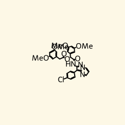 COc1cc(CC(=O)OC(C(=O)Nc2nn3cccnc3c2-c2ccc(Cl)cc2)c2cc(OC)cc(OC)c2)cc(OC)c1